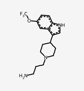 NCCCN1CCC(c2c[nH]c3ccc(OC(F)(F)F)cc23)CC1